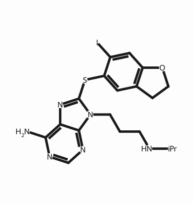 CC(C)NCCCn1c(Sc2cc3c(cc2I)OCC3)nc2c(N)ncnc21